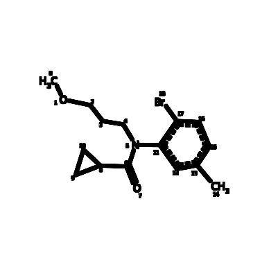 COCCCN(C(=O)C1CC1)c1cc(C)ccc1Br